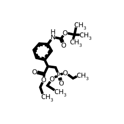 CCOC(=O)C(CP(=O)(OCC)OCC)c1cccc(NC(=O)OC(C)(C)C)c1